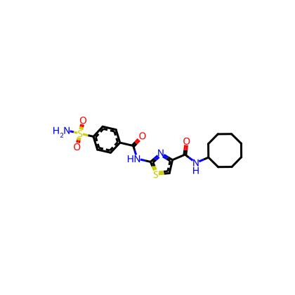 NS(=O)(=O)c1ccc(C(=O)Nc2nc(C(=O)NC3CCCCCCC3)cs2)cc1